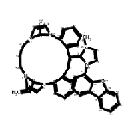 C=CC1N2C=CN1c1ccccc1CC(C1N(C)C=CN1c1cccc3c1oc1ccccc13)c1ccccc1N1C=CN(CCC2)C1C